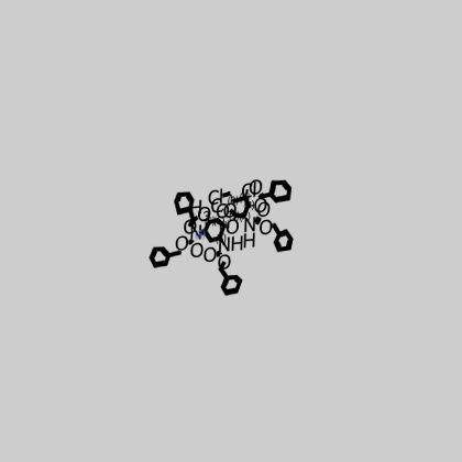 CO[C@H]1[C@H](O[C@H]2O[C@H](CCl)[C@@H](Cl)[C@H](OC(=O)c3ccccc3)[C@H]2NC(=O)OCc2ccccc2)[C@@H](NC(=O)OCc2ccccc2)C/C(=N\C(=O)OCc2ccccc2)[C@@H]1OC(=O)c1ccccc1